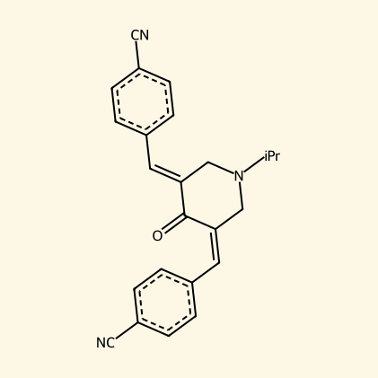 CC(C)N1CC(=Cc2ccc(C#N)cc2)C(=O)C(=Cc2ccc(C#N)cc2)C1